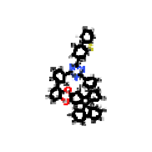 C1=Cc2sc3cc(-c4nc(-c5ccccc5)nc(-c5cccc(-c6cccc7c6Oc6cc8c(cc6O7)C(c6ccccc6)(c6ccccc6)c6ccccc6-8)c5)n4)ccc3c2CC1